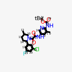 Cc1cc(NC(=O)C(=O)N2CC(C)CCC2c2cc(F)cc(Cl)c2)cnc1NC(=O)OC(C)(C)C